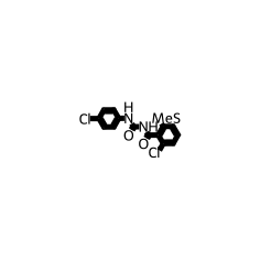 CSc1cccc(Cl)c1C(=O)NC(=O)Nc1ccc(Cl)cc1